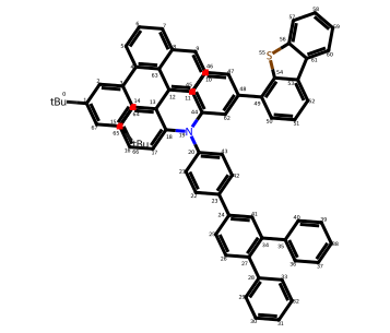 CC(C)(C)c1cc(-c2cccc3cccc(-c4ccccc4N(c4ccc(-c5ccc(-c6ccccc6)c(-c6ccccc6)c5)cc4)c4cccc(-c5cccc6c5sc5ccccc56)c4)c23)cc(C(C)(C)C)c1